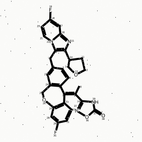 CC(=C1c2ccc(Cc3c(C4CCOC4)nc4cc(F)ccn34)cc2COc2cc(F)ccc21)c1noc(=O)[nH]1